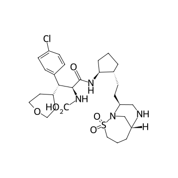 O=C(O)N[C@H](C(=O)N[C@H]1CCC[C@@H]1CC[C@H]1CN[C@@H]2CCCS(=O)(=O)N1C2)[C@@H](c1ccc(Cl)cc1)C1CCOCC1